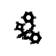 O=S(=O)(Nc1ncccc1OCc1ccccc1)C1CCC1